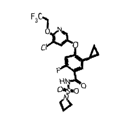 O=C(NS(=O)(=O)N1CCC1)c1cc(C2CC2)c(Oc2cnc(OCC(F)(F)F)c(Cl)c2)cc1F